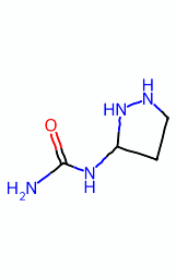 NC(=O)NC1CCNN1